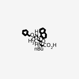 CCCC[C@H](NC(=O)[C@H](C)N(NC(=O)OCc1ccccc1)c1cccc2ccccc12)C(=O)O